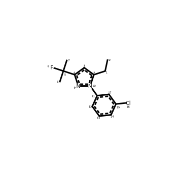 CCc1cc(C(C)(C)F)nn1-c1cccc(Cl)c1